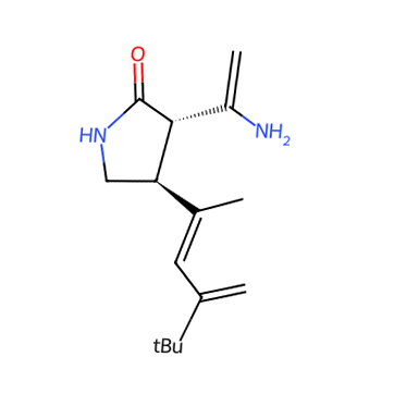 C=C(N)[C@H]1C(=O)NC[C@@H]1/C(C)=C/C(=C)C(C)(C)C